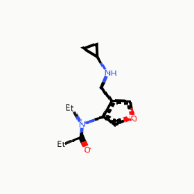 CCC(=O)N(CC)c1cocc1CNC1CC1